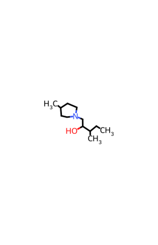 CCC(C)C(O)CN1CCC(C)CC1